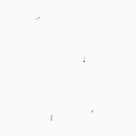 CC1=CN(CCC(=O)O)CC(CBr)=C1